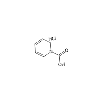 Cl.O=C(O)N1C=CC=CC1